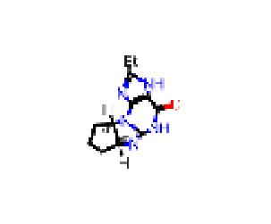 CCc1nc2c([nH]1)C(=O)NC1=N[C@@H]3CCC[C@@H]3N12